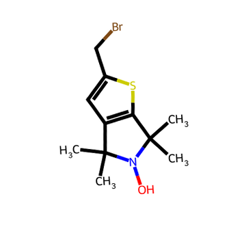 CC1(C)c2cc(CBr)sc2C(C)(C)N1O